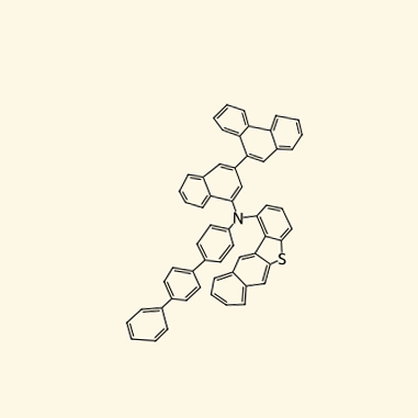 c1ccc(-c2ccc(-c3ccc(N(c4cc(-c5cc6ccccc6c6ccccc56)cc5ccccc45)c4cccc5sc6cc7ccccc7cc6c45)cc3)cc2)cc1